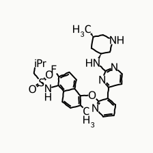 Cc1ccc2c(NS(=O)(=O)CC(C)C)c(F)ccc2c1Oc1ncccc1-c1ccnc(N[C@@H]2CNC[C@H](C)C2)n1